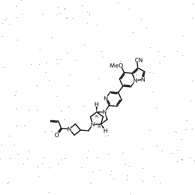 C=CC(=O)N1CC(CN2C[C@H]3C[C@@H]2CN3c2ccc(-c3cc(OC)c4c(C#N)cnn4c3)cn2)C1